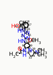 C=CC(=O)Nc1cc(Nc2ncnc(Nc3ccccc3C(C)(C)O)n2)c(OC)cc1N1CCC[C@@H](N(C)C)C1